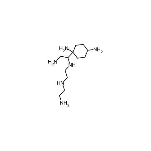 NCCNCCNC(CN)C1(N)CCC(N)CC1